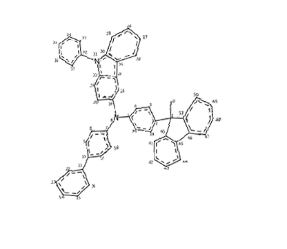 CC1(c2ccc(N(c3ccc(-c4ccccc4)cc3)c3ccc4c(c3)c3ccccc3n4-c3ccccc3)cc2)c2ccccc2-c2ccccc21